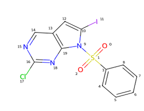 O=S(=O)(c1ccccc1)n1c(I)cc2cnc(Cl)nc21